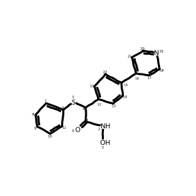 O=C(NO)C(Sc1ccccc1)c1ccc(-c2ccncc2)cc1